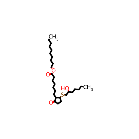 CCCCCCCCCCOC(=O)CCCCCCC1C(=O)CCC1SCC(O)CCCCC